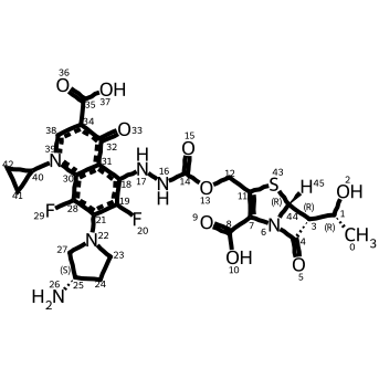 C[C@@H](O)[C@@H]1C(=O)N2C(C(=O)O)=C(COC(=O)NNc3c(F)c(N4CC[C@H](N)C4)c(F)c4c3c(=O)c(C(=O)O)cn4C3CC3)S[C@H]12